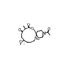 CO[C@]1(C)CCCN(C)C2(CCN(C(C)=O)CC2)COC(=O)C(C)C(=O)CC1